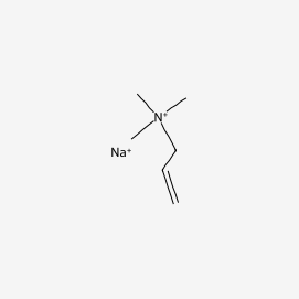 C=CC[N+](C)(C)C.[Na+]